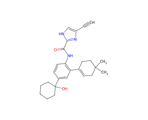 C#Cc1c[nH]c(C(=O)Nc2ccc(C3(O)CCCCC3)cc2C2=CCC(C)(C)CC2)n1